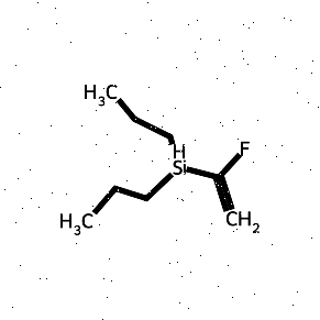 C=C(F)[SiH](CCC)CCC